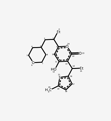 CCC(CC1CCOCC1)c1cc(O)c(C(CC)c2ccc(C)s2)c(=O)o1